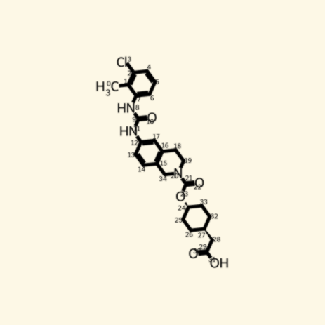 Cc1c(Cl)cccc1NC(=O)Nc1ccc2c(c1)CCN(C(=O)O[C@H]1CC[C@H](CC(=O)O)CC1)C2